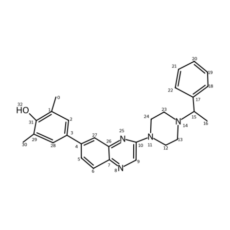 Cc1cc(-c2ccc3ncc(N4CCN(C(C)c5ccccc5)CC4)nc3c2)cc(C)c1O